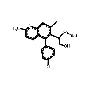 CCCCOC(CO)c1c(C)cc2nc(C(F)(F)F)ccc2c1-c1ccc(Cl)cc1